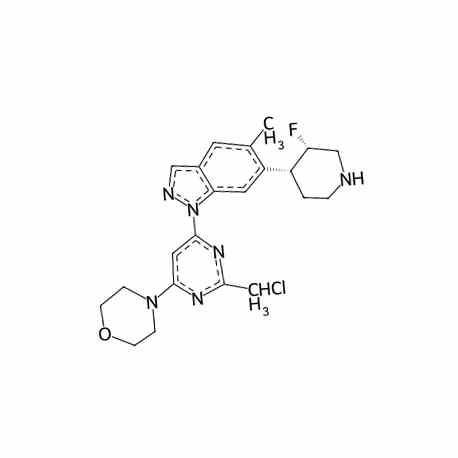 Cc1nc(N2CCOCC2)cc(-n2ncc3cc(C)c([C@H]4CCNC[C@H]4F)cc32)n1.Cl